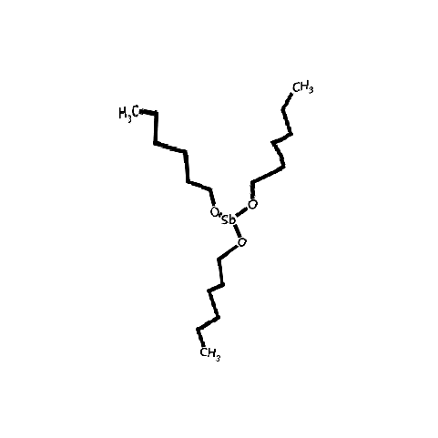 CCCCCC[O][Sb]([O]CCCCCC)[O]CCCCCC